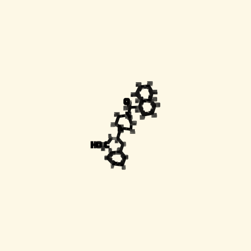 O=C(O)CC(Cc1ccccc1)N1CCN(C(=O)c2cccc3ccccc23)CC1